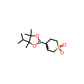 CC(C)C1(C)OB(C2=CCS(=O)(=O)CC2)OC1(C)C